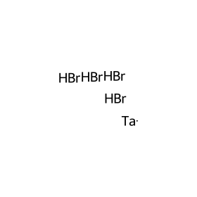 Br.Br.Br.Br.[Ta]